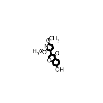 COc1ccc(-c2coc3cc(O)ccc3c2=O)c(OC)n1